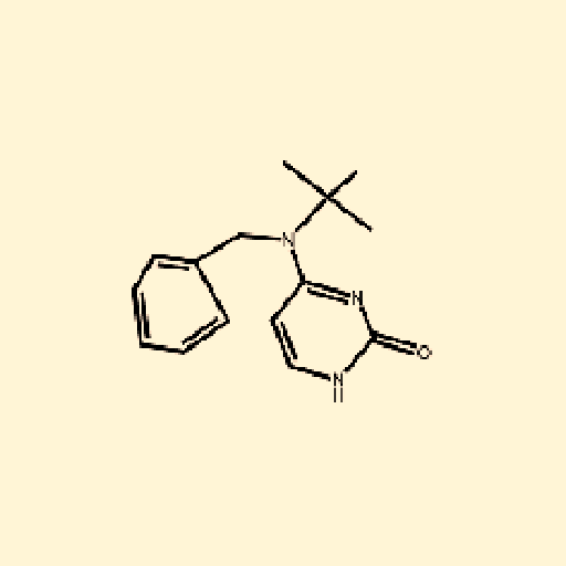 CC(C)(C)N(Cc1ccccc1)c1cc[nH]c(=O)n1